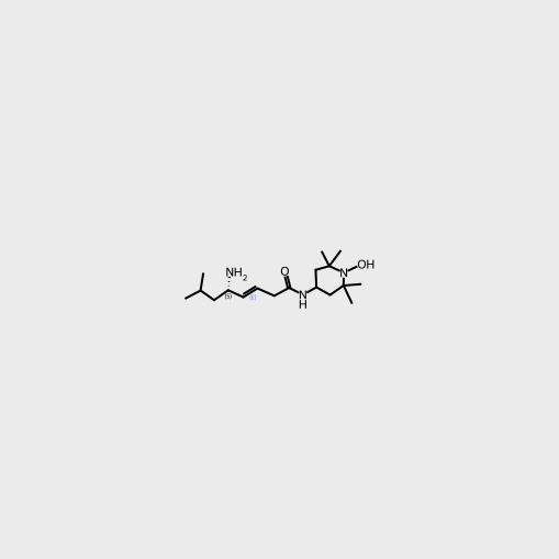 CC(C)C[C@H](N)/C=C/CC(=O)NC1CC(C)(C)N(O)C(C)(C)C1